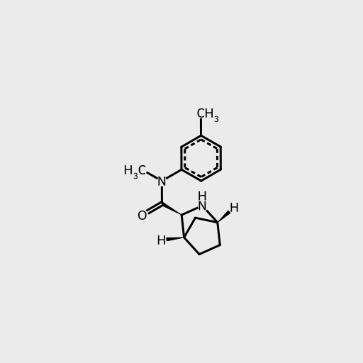 Cc1cccc(N(C)C(=O)[C@H]2N[C@@H]3CC[C@H]2C3)c1